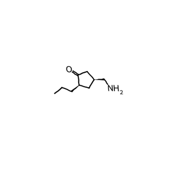 CCC[C@@H]1C[C@H](CN)CC1=O